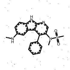 CNc1ccc2[nH]c3ncc(N(C)S(C)(=O)=O)c(-c4ccccc4)c3c2c1